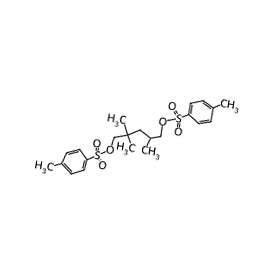 Cc1ccc(S(=O)(=O)OCC(C)CC(C)(C)COS(=O)(=O)c2ccc(C)cc2)cc1